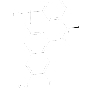 COc1cc2nc(C)nc(N[C@H](C)c3cccc(C(C)(C)O)c3)c2cc1Br